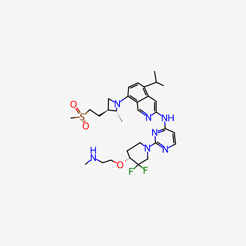 CNCCO[C@@H]1CCN(c2nccc(Nc3cc4c(C(C)C)ccc(N5C[C@H](CCS(C)(=O)=O)[C@H]5C)c4cn3)n2)CC1(F)F